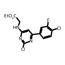 CCOC(=O)CNc1cc(-c2ccc(Cl)c(F)c2)nc(Cl)n1